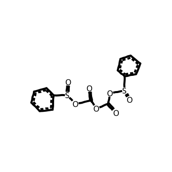 O=C(OC(=O)OS(=O)c1ccccc1)OS(=O)c1ccccc1